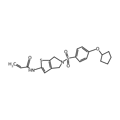 C=CC(=O)Nc1cc2c(s1)CN(S(=O)(=O)c1ccc(OC3CCCC3)cc1)C2